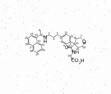 CC(NCCCc1ccc(C2(C(=O)NCC(=O)O)CCOCC2)cc1)c1cccc2ccccc12